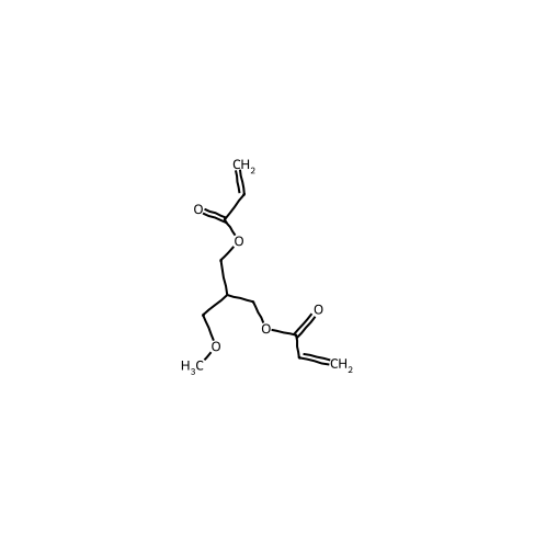 C=CC(=O)OCC(COC)COC(=O)C=C